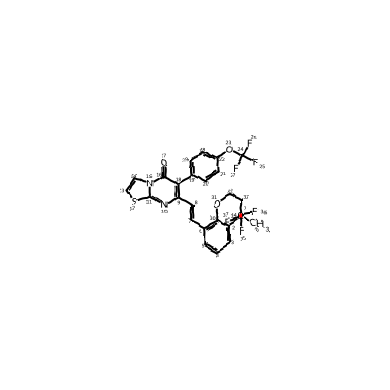 COc1cccc(C=Cc2nc3sccn3c(=O)c2-c2ccc(OC(F)(F)F)cc2)c1OCCC(F)(F)F